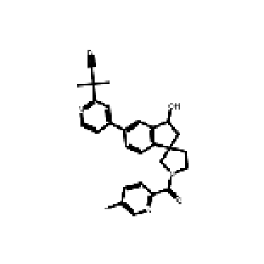 CC(C)(C#N)c1cc(-c2ccc3c(c2)C(O)CC32CCN(C(=O)c3ccc(F)cn3)C2)ccn1